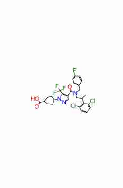 CC(CN(Cc1ccc(F)cc1)C(=O)c1cnn(C2CCC(C(=O)O)CC2)c1C(F)(F)F)c1c(Cl)cccc1Cl